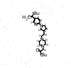 C=C(c1ccc(N2CCC(CCN3CCN(CC(=O)C(C)(C)C)CC3)C2)nc1)C(C)(C)C